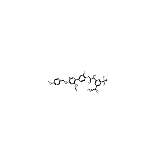 CCOc1cc(OCc2ccc(OC)cc2)ncc1-c1ccc(CC(=O)Nc2cc(C(N)=O)cc(C(F)(F)F)c2)c(F)c1